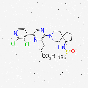 CC(C)(C)[S@@+]([O-])N[C@@H]1CCCC12CCN(c1ncc(-c3ccnc(Cl)c3Cl)nc1CCC(=O)O)CC2